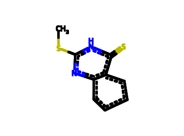 CSc1nc2ccccc2c(=S)[nH]1